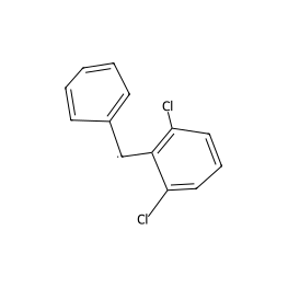 Clc1cccc(Cl)c1[CH]c1ccccc1